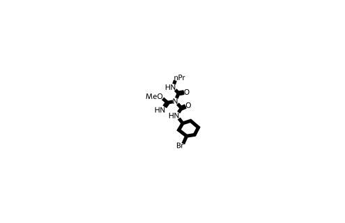 CCCNC(=O)N(C(=N)OC)C(=O)NC1CCCC(Br)C1